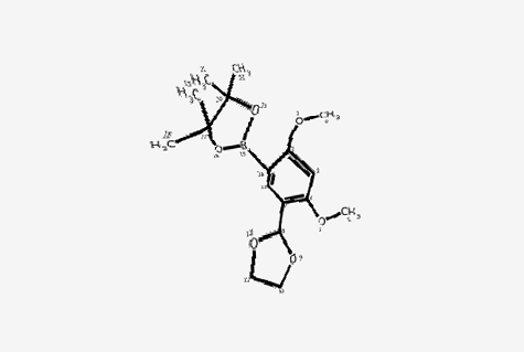 COc1cc(OC)c(C2OCCO2)cc1B1OC(C)(C)C(C)(C)O1